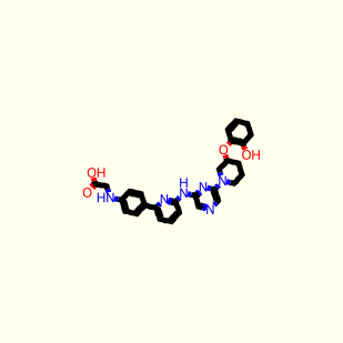 O=C(O)CNc1ccc(-c2cccc(Nc3cncc(N4CCCC(OC5=C(O)CCC=C5)C4)n3)n2)cc1